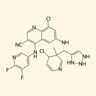 CC1([C@H](Nc2cc(Cl)c3ncc(C#N)c(Nc4cnc(F)c(F)c4)c3c2)C2=CNNN2)C=NC=CC1Cl